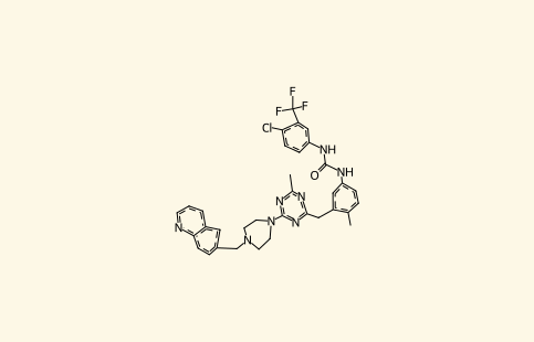 Cc1nc(Cc2cc(NC(=O)Nc3ccc(Cl)c(C(F)(F)F)c3)ccc2C)nc(N2CCN(Cc3ccc4ncccc4c3)CC2)n1